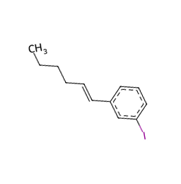 CCCCC=Cc1cccc(I)c1